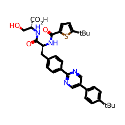 CC(C)(C)c1ccc(-c2cnc(-c3ccc(C[C@H](NC(=O)c4ccc(C(C)(C)C)s4)C(=O)N[C@H](CO)C(=O)O)cc3)nc2)cc1